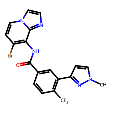 Cn1ccc(-c2cc(C(=O)Nc3c(Br)ccn4ccnc34)ccc2C(F)(F)F)n1